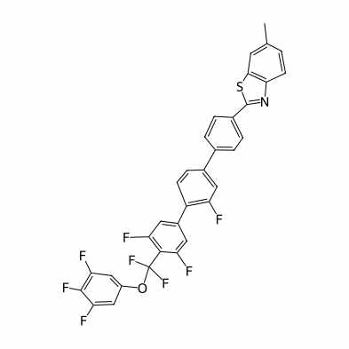 Cc1ccc2nc(-c3ccc(-c4ccc(-c5cc(F)c(C(F)(F)Oc6cc(F)c(F)c(F)c6)c(F)c5)c(F)c4)cc3)sc2c1